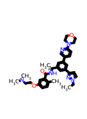 CCn1ccc(-c2cc(-c3ccc(N4CCOCC4)nc3)cc([C@@H](C)NC(=O)c3cc(OCCN(C)C)ccc3C)c2)n1